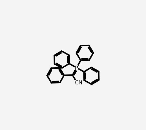 N#CC(c1ccccc1)=P(c1ccccc1)(c1ccccc1)c1ccccc1